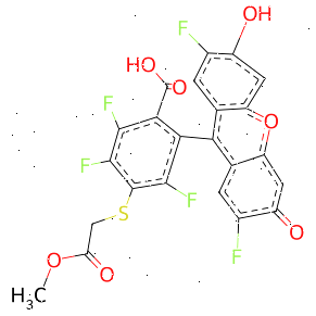 COC(=O)CSc1c(F)c(F)c(C(=O)O)c(-c2c3cc(F)c(=O)cc-3oc3cc(O)c(F)cc23)c1F